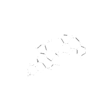 Cc1nc(C)c(C(=O)N2CCN(C)CC2)c(-c2cccc(Cl)c2)c1C(=O)OCCC1c2ccccc2C=CC2C=CC=CC21